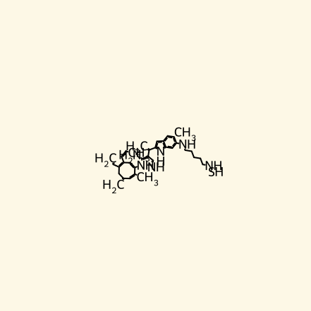 C=C/C1=C(\C=C/C)/C=C(N/C(N)=C(\C=N)C(=C)c2cc3cc(C)c(NCCCCCNS)cc3[nH]2)\C(C)=C/C(=C)C1